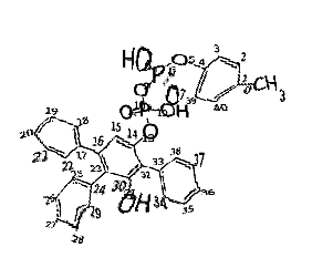 Cc1ccc(OP(=O)(O)OP(=O)(O)Oc2cc(-c3ccccc3)c(-c3ccccc3)c(O)c2-c2ccccc2)cc1